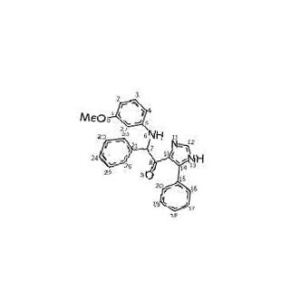 COc1cccc(NC(C(=O)c2nc[nH]c2-c2ccccc2)c2ccccc2)c1